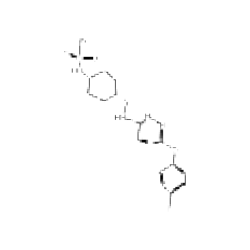 CC(C)S(=O)(=O)N[C@H]1CC[C@H](CNc2ccc(Oc3ccc(F)cc3)nn2)CC1